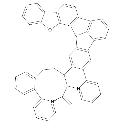 C=C1C2C(CCc3ccccc3-c3cccc[n+]31)c1cc3c(cc1-c1cccc[n+]12)c1cccc2c4ccc5c6ccccc6oc5c4n3c12